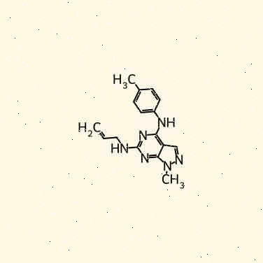 C=CCNc1nc(Nc2ccc(C)cc2)c2cnn(C)c2n1